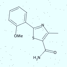 COc1ccccc1-c1nc(C)c(C(N)=O)s1